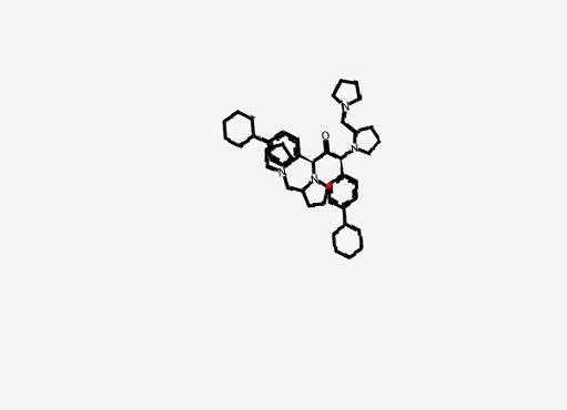 O=C([C@H](c1ccc(C2CCCCC2)cc1)N1CCCC1CN1CCCC1)[C@H](c1ccc(C2CCCCC2)cc1)N1CCCC1CN1CCCC1